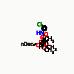 CCCCCCCCCCCCO[C@H]1O[C@H]([C@@H](C)OC(=O)Nc2cccc(Cl)c2)[C@@H]2OC(C)(C)O[C@H]12